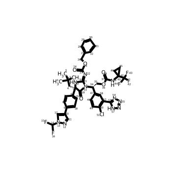 CC(C)(C)C[C@]1(c2ccc(-c3cnn(C(F)F)c3)cc2)NC(=NC(=O)OCc2ccccc2)N([C@H](COC(=O)NC2(C(F)(F)F)CC2)c2ccc(Cl)c(-c3nnn[nH]3)c2)C1=O